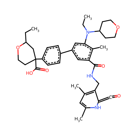 CCC1CC(C(=O)O)(c2ccc(-c3cc(C(=O)NCC4=C(C)C=C(C)NC4=C=O)c(C)c(N(CC)C4CCOCC4)c3)cc2)CCO1